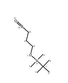 CC(C)(C)[Si](C)(C)OCCCB=O